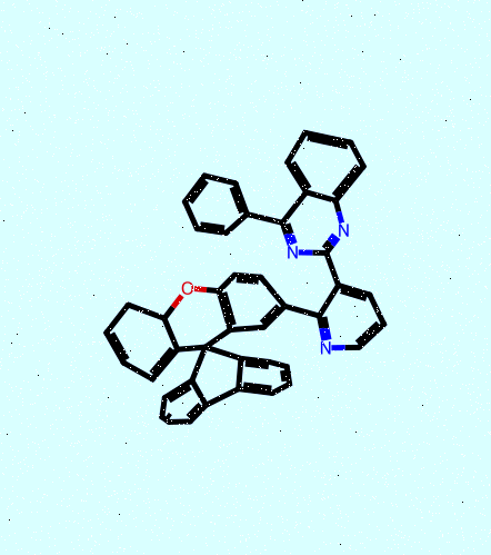 C1=CCC2Oc3ccc(-c4ncccc4-c4nc(-c5ccccc5)c5ccccc5n4)cc3C3(C2=C1)c1ccccc1-c1ccccc13